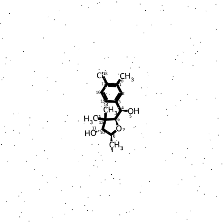 Cc1cc([C@@H](O)[C@H]2O[C@@H](C)[C@H](O)C2(C)C)ccc1Cl